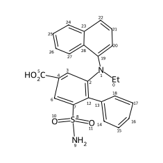 CCN(c1cc(C(=O)O)cc(S(N)(=O)=O)c1-c1ccccc1)c1cccc2ccccc12